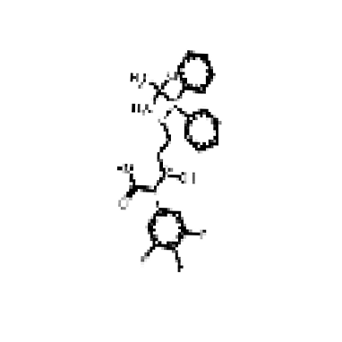 CC(C)(C)[Si](OCC[C@@H](O)[C@@H](C(=O)O)c1cc(F)c(F)c(F)c1)(c1ccccc1)c1ccccc1